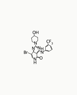 O=c1[nH]cc(Br)c2nc(N3CCC(O)CC3)nc(Nc3cccc(C(F)(F)F)c3)c12